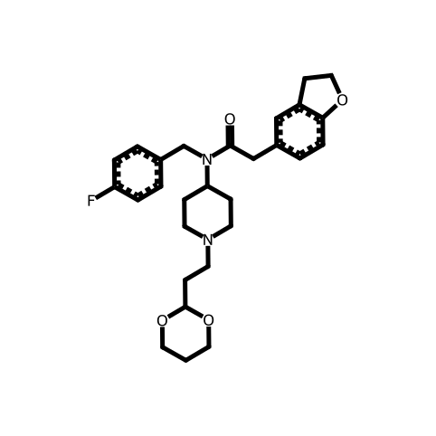 O=C(Cc1ccc2c(c1)CCO2)N(Cc1ccc(F)cc1)C1CCN(CCC2OCCCO2)CC1